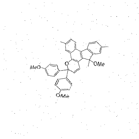 COc1ccc(C2(c3ccc(OC)cc3)C=Cc3c4c(c5ccc(C)cc5c3O2)-c2ccc(C)cc2C4(C)OC)cc1